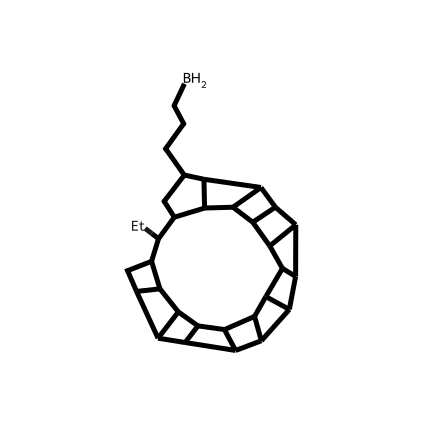 BCCCC1CC2C(CC)C3CC4C3C3C4C4C3C3C4C4C3C3C5C6C7C8C2C1C8C7C6C5C43